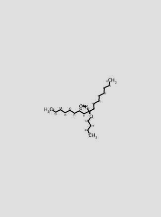 CCCCCCCCC(CCCCCCCC)(OCCCC)P=O